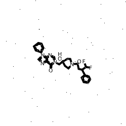 O=C(CC(c1ccccc1)C(F)F)N1CCC(O)(Cn2cnc3c(ncn3-c3ccccc3)c2=O)CC1